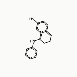 Sc1ccc2c(c1)=C(Nc1ccccc1)CCC=2